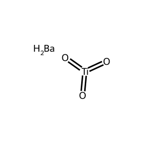 [BaH2].[O]=[Ti](=[O])=[O]